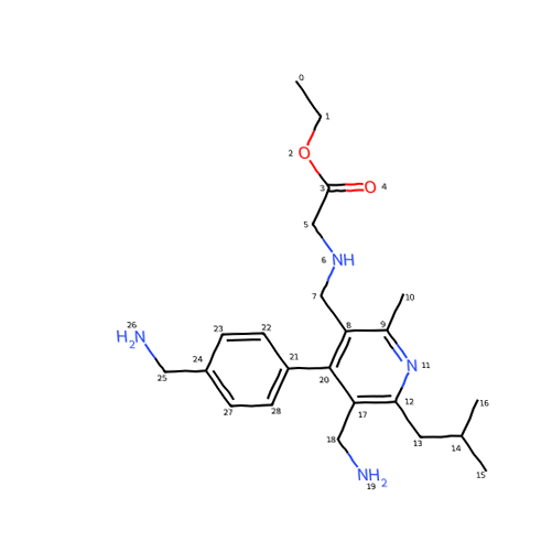 CCOC(=O)CNCc1c(C)nc(CC(C)C)c(CN)c1-c1ccc(CN)cc1